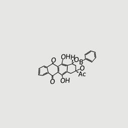 CC(=O)[C@@]12Cc3c(O)c4c(c(O)c3[C@@H](C1)OB(c1ccccc1)O2)C(=O)c1ccccc1C4=O